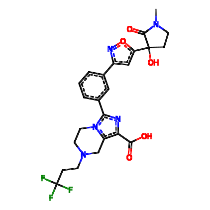 CN1CCC(O)(c2cc(-c3cccc(-c4nc(C(=O)O)c5n4CCN(CCC(F)(F)F)C5)c3)no2)C1=O